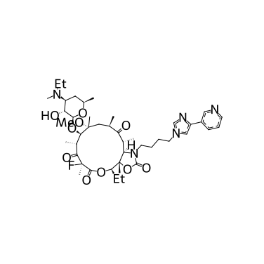 CC[C@H]1OC(=O)[C@@](C)(F)C(=O)[C@H](C)[C@@H](O[C@@H]2O[C@H](C)C[C@H](N(C)CC)[C@H]2O)[C@](C)(OC)C[C@@H](C)C(=O)[C@H](C)[C@H]2N(CCCCn3cnc(-c4cccnc4)c3)C(=O)O[C@]12C